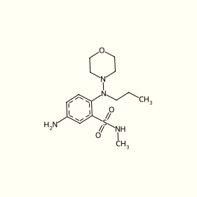 CCCN(c1ccc(N)cc1S(=O)(=O)NC)N1CCOCC1